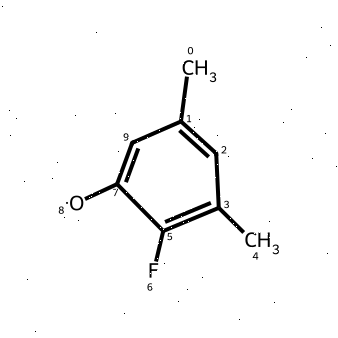 Cc1cc(C)c(F)c([O])c1